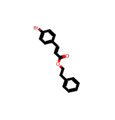 O=C(C=Cc1ccc(Br)cc1)OCCc1ccccc1